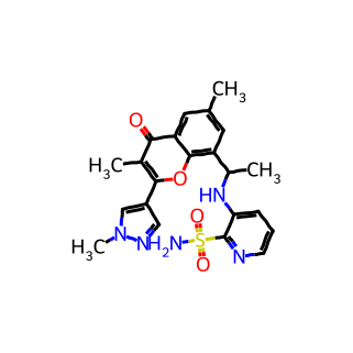 Cc1cc(C(C)Nc2cccnc2S(N)(=O)=O)c2oc(-c3cnn(C)c3)c(C)c(=O)c2c1